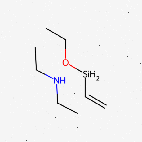 C=C[SiH2]OCC.CCNCC